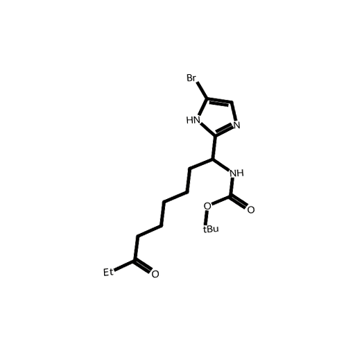 CCC(=O)CCCCCC(NC(=O)OC(C)(C)C)c1ncc(Br)[nH]1